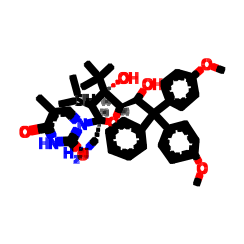 COc1ccc(C(c2ccccc2)(c2ccc(OC)cc2)C(O)[C@H]2O[C@@](CN)(n3cc(C)c(=O)[nH]c3=O)C([SiH](C)C)[C@@]2(O)C(C)(C)C)cc1